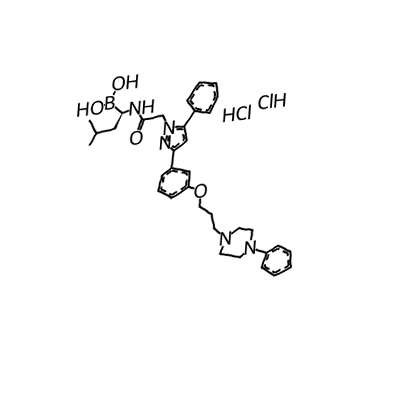 CC(C)C[C@H](NC(=O)Cn1nc(-c2cccc(OCCCN3CCN(c4ccccc4)CC3)c2)cc1-c1ccccc1)B(O)O.Cl.Cl